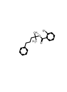 CCc1ccccc1C(=O)OC(C)(C)CCCc1ccccc1